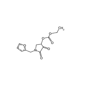 CCOC(=O)OC1CN(Cc2ccco2)C(=O)C1=O